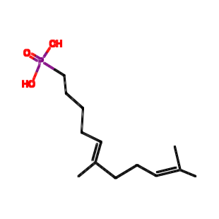 CC(C)=CCCC(C)=CCCCCP(=O)(O)O